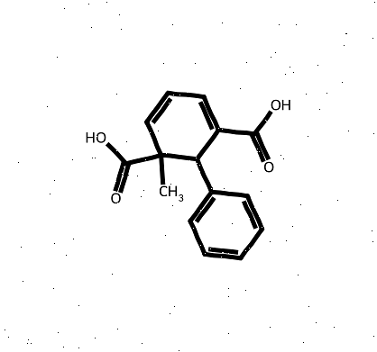 CC1(C(=O)O)C=CC=C(C(=O)O)C1c1ccccc1